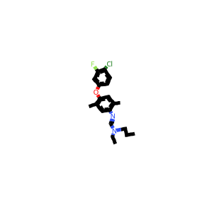 CCCN(C=Nc1cc(C)c(Oc2ccc(Cl)c(F)c2)cc1C)CC